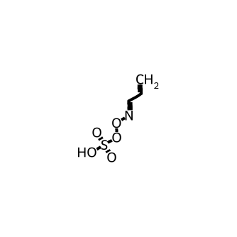 C=CC=NOOS(=O)(=O)O